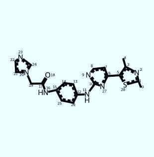 Cc1nc(C)c(-c2ccnc(Nc3ccc(NC(=O)Cn4ccnc4)cc3)n2)s1